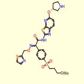 COCCCS(=O)(=O)c1ccc(/C(=N\OCc2nccs2)C(=O)Nc2nc3ccc(O[C@@H]4CCNC4)nc3s2)cc1